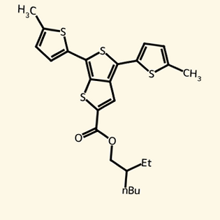 CCCCC(CC)COC(=O)c1cc2c(-c3ccc(C)s3)sc(-c3ccc(C)s3)c2s1